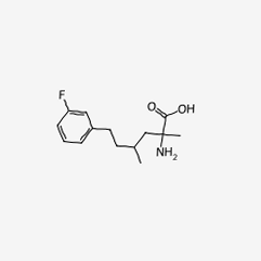 CC(CCc1cccc(F)c1)CC(C)(N)C(=O)O